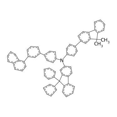 CC1(C)c2ccccc2-c2ccc(-c3ccc(N(c4ccc(-c5cccc(-c6cccc7ccccc67)c5)cc4)c4ccc5c(c4)C(c4ccccc4)(c4ccccc4)c4ccccc4-5)cc3)cc21